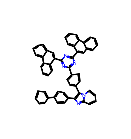 c1ccc(-c2ccc(-c3nc4ccccn4c3-c3ccc(-c4nc(-c5cc6ccccc6c6ccccc56)nc(-c5cc6ccccc6c6ccccc56)n4)cc3)cc2)cc1